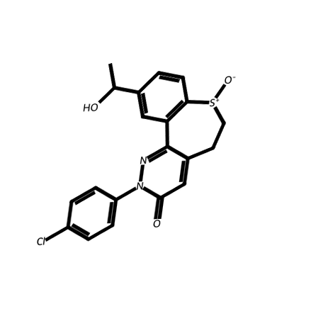 CC(O)c1ccc2c(c1)-c1nn(-c3ccc(Cl)cc3)c(=O)cc1CC[S+]2[O-]